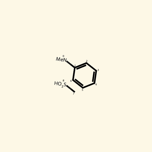 CNc1ccccc1.CS(=O)(=O)O